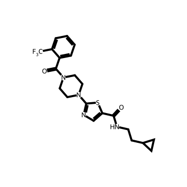 O=C(NCCC1CC1)c1cnc(N2CCN(C(=O)c3ccccc3C(F)(F)F)CC2)s1